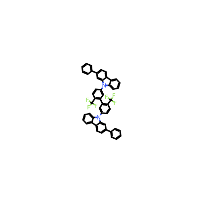 FC(F)(F)c1ccc(-n2c3ccccc3c3ccc(-c4ccccc4)cc32)cc1-c1cc(-n2c3ccccc3c3ccc(-c4ccccc4)cc32)ccc1C(F)(F)F